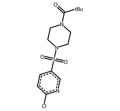 CC(C)(C)C(=O)N1CCN(S(=O)(=O)c2ccc(Cl)nc2)CC1